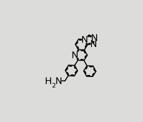 NCc1ccc(-c2nc3ccn4cnnc4c3cc2-c2ccccc2)cc1